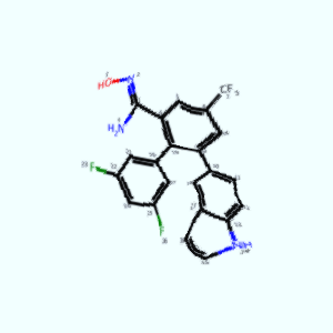 N/C(=N\O)c1cc(C(F)(F)F)cc(-c2ccc3[nH]ccc3c2)c1-c1cc(F)cc(F)c1